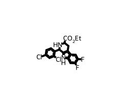 CCOC(=O)C1Cc2c([nH]c3cc(F)c(F)cc23)C(c2ccc(Cl)cc2Cl)N1